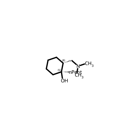 CCCCC[C@]1(O)CCCC[C@@H]1CN(C)C